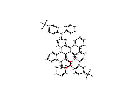 CC(C)(C)c1ccc(N(c2ccccc2)c2ccc3c(-c4ccccc4-c4ccccc4)c4c(c(-c5ccccc5-c5ccccc5)c3c2)=CCC(N(c2ccccc2)c2ccc(C(C)(C)C)cc2)C=4)cc1